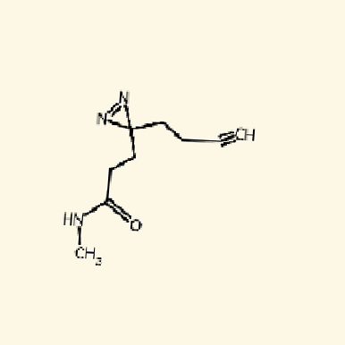 C#CCCC1(CCC(=O)NC)N=N1